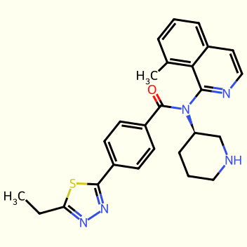 CCc1nnc(-c2ccc(C(=O)N(c3nccc4cccc(C)c34)[C@@H]3CCCNC3)cc2)s1